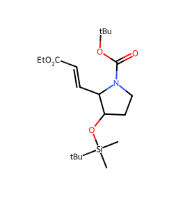 CCOC(=O)C=CC1C(O[Si](C)(C)C(C)(C)C)CCN1C(=O)OC(C)(C)C